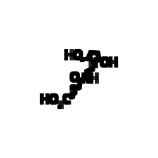 O=C(O)CSCC(=O)NCCN1C(O)CC[C@@H]1CO